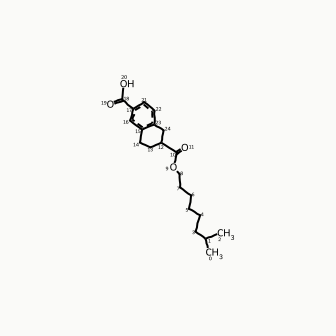 CC(C)CCCCCCOC(=O)C1CCc2cc(C(=O)O)ccc2C1